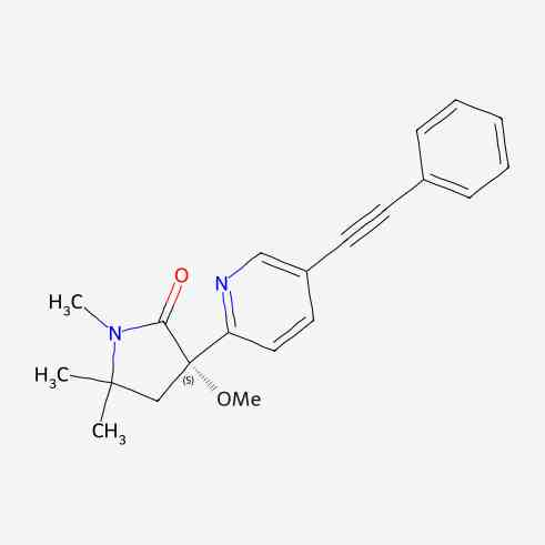 CO[C@]1(c2ccc(C#Cc3ccccc3)cn2)CC(C)(C)N(C)C1=O